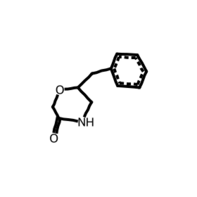 O=C1COC(Cc2ccccc2)CN1